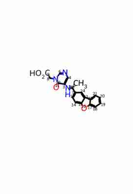 C[C@H](Nc1cncn(CC(=O)O)c1=O)c1ccc2oc3ccccc3c2c1